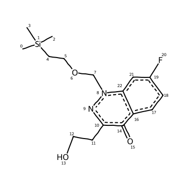 C[Si](C)(C)CCOCn1nc(CCO)c(=O)c2ccc(F)cc21